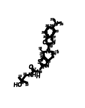 C[C@@H]1Cc2nc(NC(=O)NCC(C)(C)O)sc2[C@H](C)N1c1nc2cc(N(C)C)ccc2o1